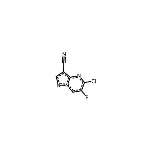 N#Cc1cnn2cc(F)c(Cl)nc12